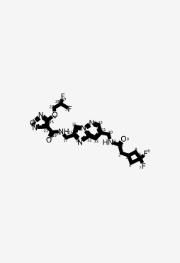 O=C(CC1CC(F)(F)C1)NCc1cnn2cc(CNC(=O)c3nonc3OCC(F)F)nc2c1